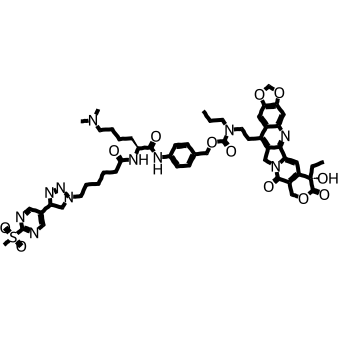 CCCN(CCc1c2c(nc3cc4c(cc13)OCO4)-c1cc3c(c(=O)n1C2)COC(=O)[C@]3(O)CC)C(=O)OCc1ccc(NC(=O)[C@H](CCCCN(C)C)NC(=O)CCCCCN2CC(c3cnc(S(C)(=O)=O)nc3)N=N2)cc1